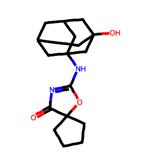 O=C1N=C(NC23CC4CC(CC(O)(C4)C2)C3)OC12CCCC2